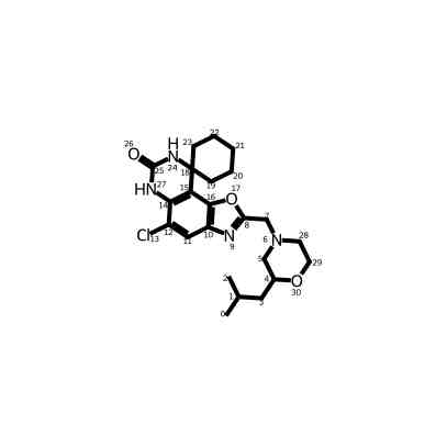 CC(C)CC1CN(Cc2nc3cc(Cl)c4c(c3o2)C2(CCCCC2)NC(=O)N4)CCO1